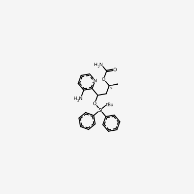 C[C@@H](CC(O[Si](c1ccccc1)(c1ccccc1)C(C)(C)C)c1ncccc1N)OC(N)=O